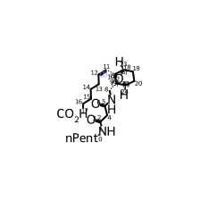 CCCCCNC(=O)CC(=O)NC[C@@H]1[C@H](/C=C\CCCCC(=O)O)[C@@H]2CC[C@H]1O2